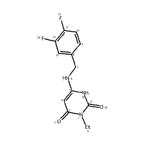 CCn1c(=O)cc(NCc2ccc(F)c(F)c2)[nH]c1=O